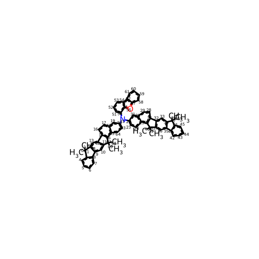 CC1(C)c2ccccc2-c2cc3c(cc21)-c1ccc2cc(N(c4ccc5c6c(ccc5c4)-c4cc5c(cc4C6(C)C)-c4ccccc4C5(C)C)c4cccc5c4oc4ccccc45)ccc2c1C3(C)C